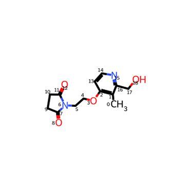 Cc1c(OCCN2C(=O)CCC2=O)ccnc1CO